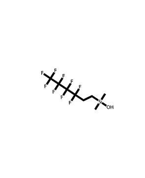 C[Si](C)(O)CCC(F)(F)C(F)(F)C(F)(F)C(F)(F)F